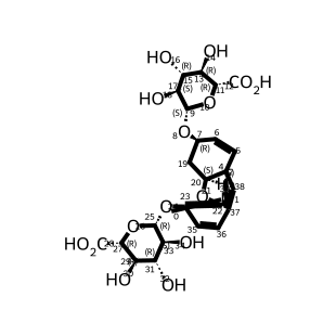 CN1CC[C@@]23C=C[C@H](O[C@H]4O[C@@H](C(=O)O)[C@H](O)[C@@H](O)[C@@H]4O)C[C@@H]2Oc2c(O[C@H]4O[C@@H](C(=O)O)[C@H](O)[C@@H](O)[C@@H]4O)ccc(c23)C1